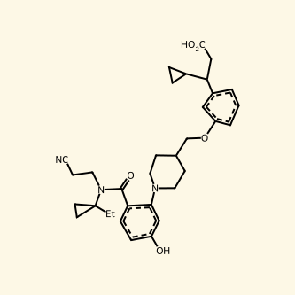 CCC1(N(CCC#N)C(=O)c2ccc(O)cc2N2CCC(COc3cccc(C(CC(=O)O)C4CC4)c3)CC2)CC1